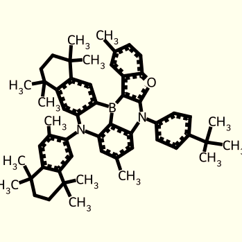 Cc1cc2c3c(c1)N(c1ccc(C(C)(C)C)cc1)c1oc4ccc(C)cc4c1B3c1cc3c(cc1N2c1cc2c(cc1C)C(C)(C)CCC2(C)C)C(C)(C)CCC3(C)C